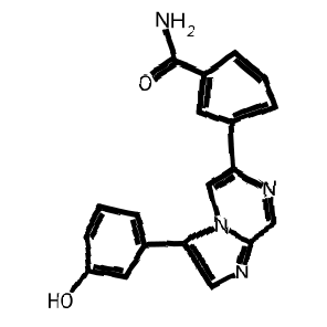 NC(=O)c1cccc(-c2cn3c(-c4cccc(O)c4)cnc3cn2)c1